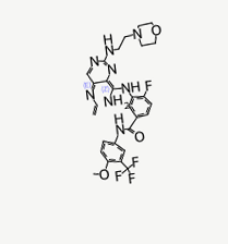 C=C/N=C1/C=NC(NCCN2CCOCC2)=N/C1=C(/N)Nc1cc(C(=O)Nc2ccc(OC)c(C(F)(F)F)c2)ccc1F